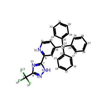 FC(F)(F)c1n[nH]c(-c2cc([Si](c3ccccc3)(c3ccccc3)c3ccccc3)ccn2)n1